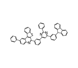 c1ccc(-c2ccc3nc(-c4cccc(-c5cc(-c6cccc(C7c8ccccc8-c8ccccc87)c6)nc(-c6ccccc6)n5)c4)c4sc5ccccc5c4c3c2)cc1